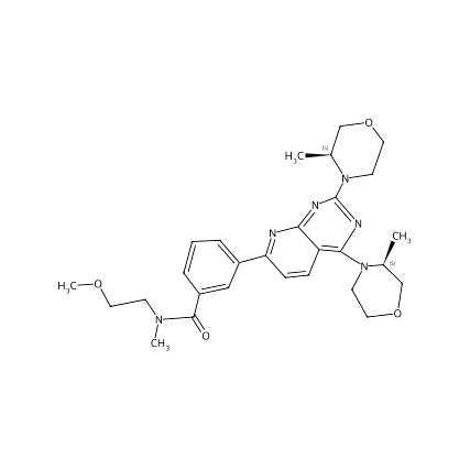 COCCN(C)C(=O)c1cccc(-c2ccc3c(N4CCOC[C@@H]4C)nc(N4CCOC[C@@H]4C)nc3n2)c1